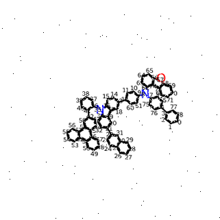 c1ccc(-c2ccc(N(c3ccc(-c4ccc5c(c4)c4cc(-c6ccc7ccccc7c6)ccc4n5-c4ccccc4-c4ccc5c6ccccc6c6ccccc6c5c4)cc3)c3cccc4oc5ccccc5c34)cc2)cc1